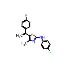 C=C(c1ccc(F)cc1)c1sc(Nc2ccc(F)cc2)nc1C